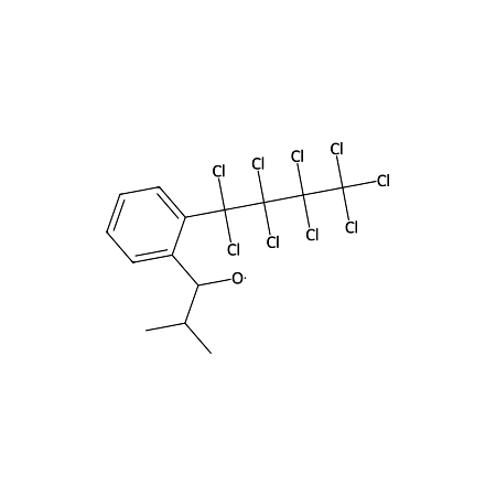 CC(C)C([O])c1ccccc1C(Cl)(Cl)C(Cl)(Cl)C(Cl)(Cl)C(Cl)(Cl)Cl